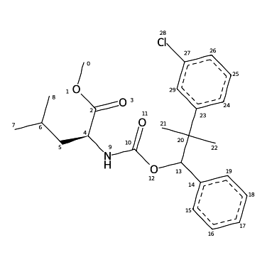 COC(=O)[C@H](CC(C)C)NC(=O)OC(c1ccccc1)C(C)(C)c1cccc(Cl)c1